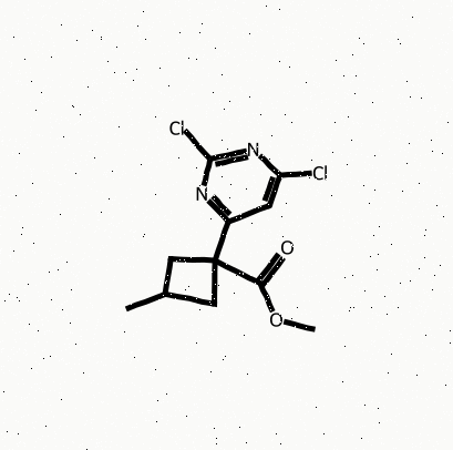 COC(=O)C1(c2cc(Cl)nc(Cl)n2)CC(C)C1